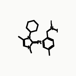 Cc1ccc(CN(I)I)cc1.Cc1cn(C)[c](=[Pt])n1C1CCCCC1